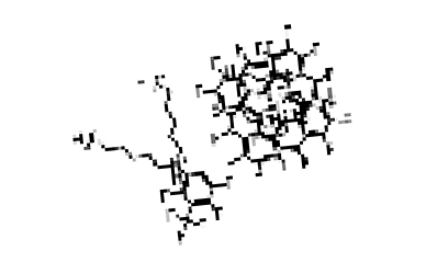 CCCCCC[NH+](CCCCCC)c1cc(F)c(F)c(C(F)(F)F)c1F.CCc1c(F)c(F)c(F)c2c(F)c(F)c(F)[c]([Al-]([c]3c(F)c(F)c(F)c4c(F)c(F)c(F)c(CC)c34)([c]3c(F)c(F)c(F)c4c(F)c(F)c(F)c(CC)c34)[c]3c(F)c(F)c(F)c4c(F)c(F)c(F)c(CC)c34)c12